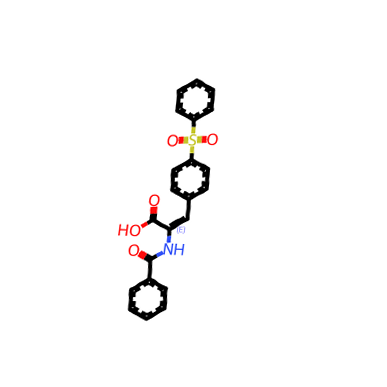 O=C(O)/C(=C\c1ccc(S(=O)(=O)c2ccccc2)cc1)NC(=O)c1ccccc1